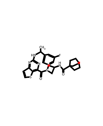 CC(Nc1nc(C(=O)N2CC(NC(=O)C34CCC(CC3)CC4)C2)c2sccc2n1)c1cncc(F)c1